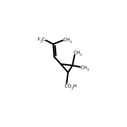 CC(=CC1C(C(=O)O)C1(C)C)C(F)(F)F